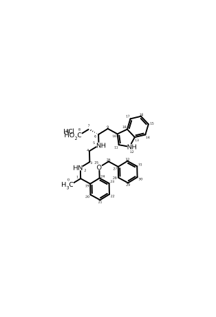 CC(NCCN[C@H](CC(=O)O)Cc1c[nH]c2ccccc12)c1ccccc1OCc1ccccc1.Cl